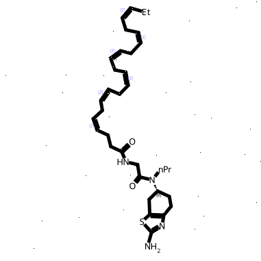 CC/C=C\C/C=C\C/C=C\C/C=C\C/C=C\C/C=C\CCC(=O)NCC(=O)N(CCC)[C@@H]1CCc2nc(N)sc2C1